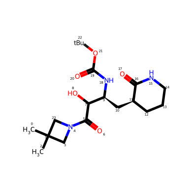 CC1(C)CN(C(=O)C(O)[C@H](C[C@@H]2CCCNC2=O)NC(=O)OC(C)(C)C)C1